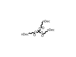 CCCCCCCCCCCCCC(=O)OCC(C)(COC(=O)CCCCCCCCCCCCC)COC(=O)CCCCCCCCCCCCC